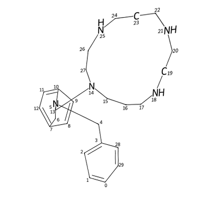 c1ccc(CN2Cc3ccc(cc3)C2N2CCCNCCNCCCNCC2)cc1